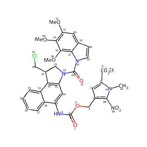 CCOC(=O)c1cc(COC(=O)Nc2cc3c(c4ccccc24)C(CCl)CN3C(=O)n2ccc3cc(OC)c(OC)c(OC)c32)c([N+](=O)[O-])n1C